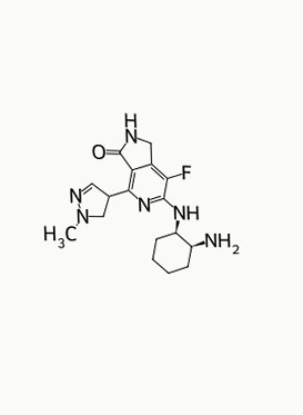 CN1CC(c2nc(N[C@@H]3CCCC[C@@H]3N)c(F)c3c2C(=O)NC3)C=N1